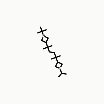 CC(C)N1CC(C(C)(C)CCC(C)(C)C2CN(C(C)(C)C)C2)C1